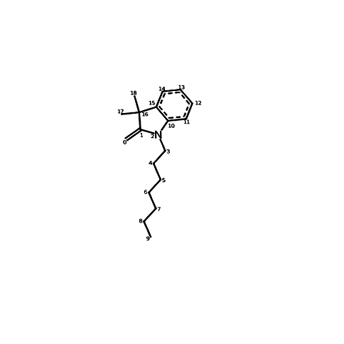 C=C1N(CCCCCCC)c2ccccc2C1(C)C